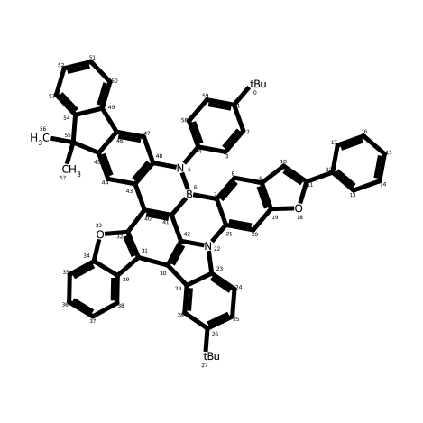 CC(C)(C)c1ccc(N2B3c4cc5cc(-c6ccccc6)oc5cc4-n4c5ccc(C(C)(C)C)cc5c5c6c(oc7ccccc76)c(c3c54)-c3cc4c(cc32)-c2ccccc2C4(C)C)cc1